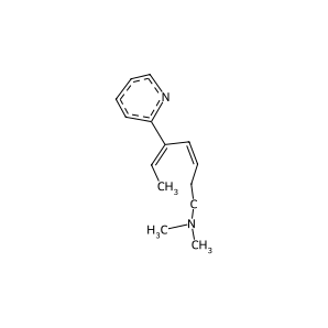 C/C=C(\C=C/CCN(C)C)c1ccccn1